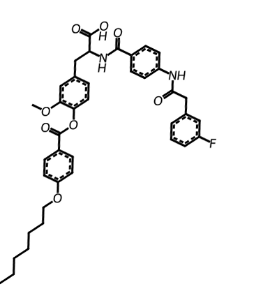 CCCCCCCOc1ccc(C(=O)Oc2ccc(CC(NC(=O)c3ccc(NC(=O)Cc4cccc(F)c4)cc3)C(=O)O)cc2OC)cc1